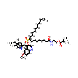 C=C(C)C(=O)OCCNC(=O)CCCCCCCC(CCCCCCCCCC)S(=O)(=O)O[C@H](c1ccnc2ccc(OC)cc12)[C@@H]1C[C@@H]2CCN1C[C@@H]2CC